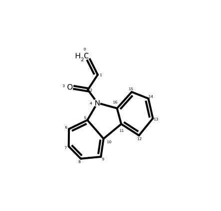 C=CC(=O)n1c2ccccc2c2ccccc21